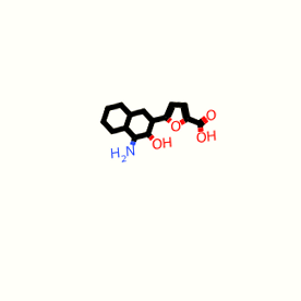 NC1C(O)C(c2ccc(C(=O)O)o2)CC2CCCCC21